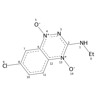 CCNc1n[n+]([O-])c2cc(Cl)ccc2[n+]1[O-]